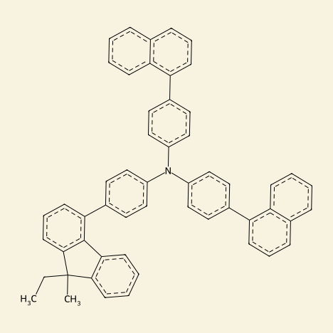 CCC1(C)c2ccccc2-c2c(-c3ccc(N(c4ccc(-c5cccc6ccccc56)cc4)c4ccc(-c5cccc6ccccc56)cc4)cc3)cccc21